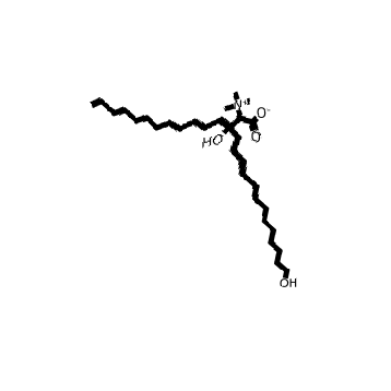 CCCCCCCCCCCCC(O)(CCCCCCCCCCCCCO)C(C(=O)[O-])[N+](C)(C)C